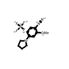 COc1cc(N2CCCC2)ccc1[N+]#N.F[B-](F)(F)F